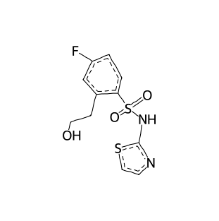 O=S(=O)(Nc1nccs1)c1ccc(F)cc1CCO